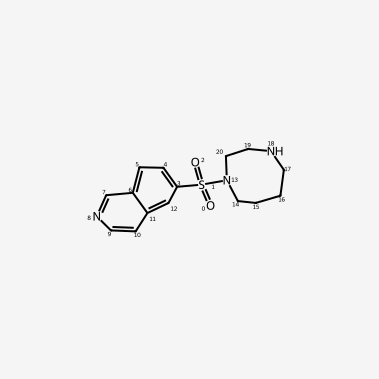 O=S(=O)(c1ccc2cnccc2c1)N1CCCCNCC1